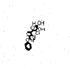 OC1[C@H]2OC(c3csc4c(Oc5ccccc5)ncnc34)[C@H](Cl)[C@@]12O